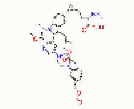 CCn1c(-c2cc(N3CCN(c4cccc(COC=O)c4)CC3)cnc2[C@H](C)OC)c(CC(C)(C)COC(C)=O)c2cc([C@@H]3C[C@H]3CC[C@H](N)C(=O)O)ccc21